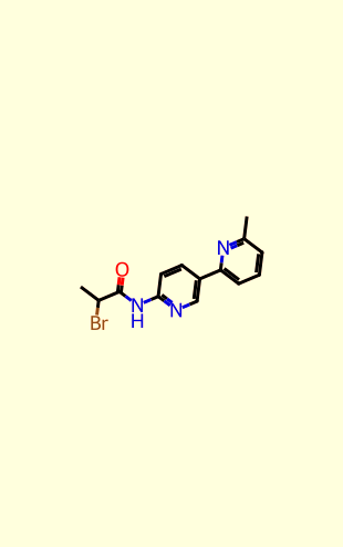 Cc1cccc(-c2ccc(NC(=O)C(C)Br)nc2)n1